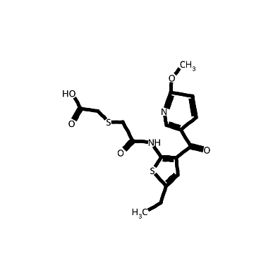 CCc1cc(C(=O)c2ccc(OC)nc2)c(NC(=O)CSCC(=O)O)s1